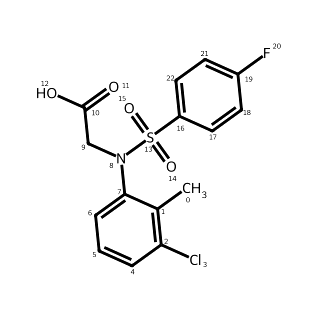 Cc1c(Cl)cccc1N(CC(=O)O)S(=O)(=O)c1ccc(F)cc1